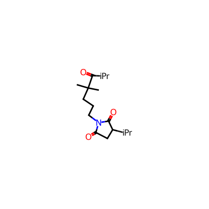 CC(C)C(=O)C(C)(C)CCCN1C(=O)CC(C(C)C)C1=O